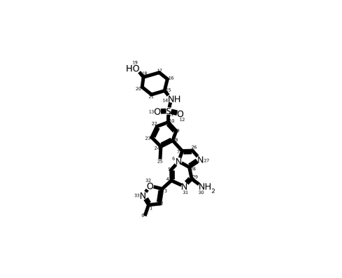 Cc1cc(-c2cn3c(-c4cc(S(=O)(=O)NC5CCC(O)CC5)ccc4C)cnc3c(N)n2)on1